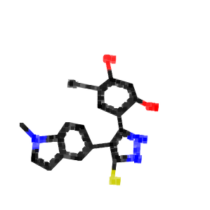 CC(C)c1cc(-c2[nH]nc(S)c2-c2ccc3c(ccn3C)c2)c(O)cc1O